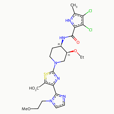 CCO[C@H]1CN(c2nc(-c3nccn3CCOC)c(C(=O)O)s2)CC[C@H]1NC(=O)c1[nH]c(C)c(Cl)c1Cl